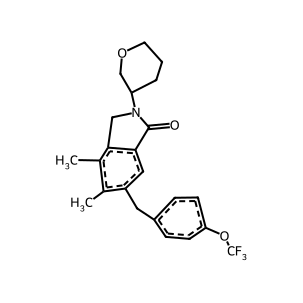 Cc1c(Cc2ccc(OC(F)(F)F)cc2)cc2c(c1C)CN(C1CCCOC1)C2=O